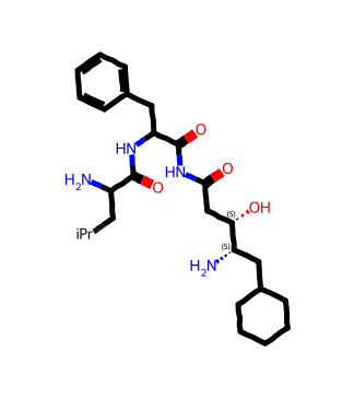 CC(C)CC(N)C(=O)NC(Cc1ccccc1)C(=O)NC(=O)C[C@H](O)[C@@H](N)CC1CCCCC1